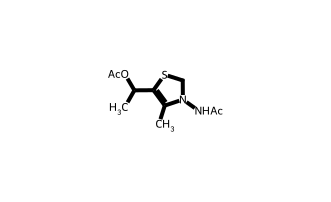 CC(=O)NN1CSC(C(C)OC(C)=O)=C1C